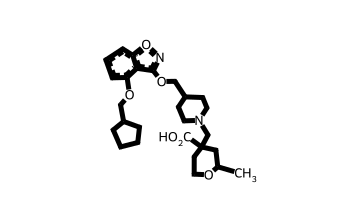 CC1CC(CN2CCC(COc3noc4cccc(OCC5CCCC5)c34)CC2)(C(=O)O)CCO1